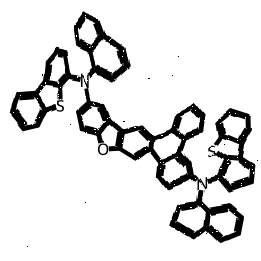 c1ccc2c(N(c3ccc4oc5cc6c7ccc(N(c8cccc9ccccc89)c8cccc9c8sc8ccccc89)cc7c7ccccc7c6cc5c4c3)c3cccc4c3sc3ccccc34)cccc2c1